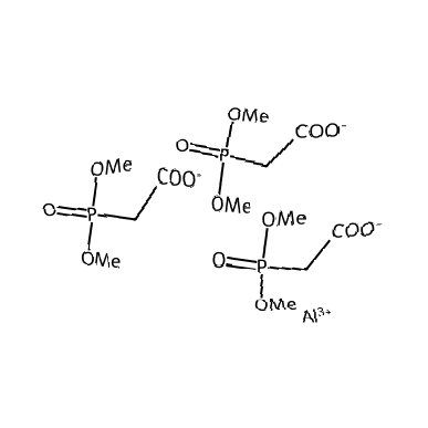 COP(=O)(CC(=O)[O-])OC.COP(=O)(CC(=O)[O-])OC.COP(=O)(CC(=O)[O-])OC.[Al+3]